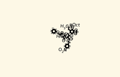 CCCCCCCC[S+]([O-])C(C)Cc1ccc2c(c1)OCO2.O=C(COc1ccccc1)NC1C(=O)N2C(C(=O)OCc3ccc([N+](=O)[O-])cc3)=C(Cl)CS[C@H]12